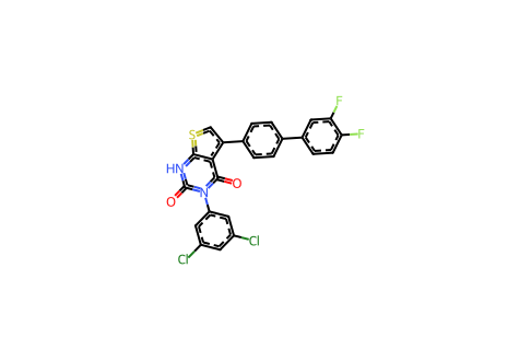 O=c1[nH]c2scc(-c3ccc(-c4ccc(F)c(F)c4)cc3)c2c(=O)n1-c1cc(Cl)cc(Cl)c1